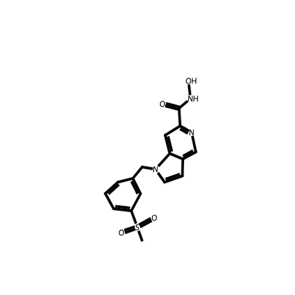 CS(=O)(=O)c1cccc(Cn2ccc3cnc(C(=O)NO)cc32)c1